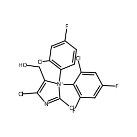 OCC1=C(Cl)N=C(Cl)[N+]1(c1ccc(F)cc1Cl)c1c(F)cc(F)cc1Cl